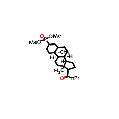 CCCC(=O)C1CC[C@H]2[C@@H]3CCC4C=C(P(=O)(OC)OC)CC[C@]4(C)[C@@H]3CC[C@]12C